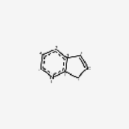 [C]1=Cc2cccnc2C1